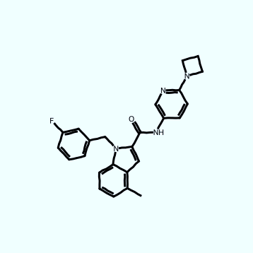 Cc1cccc2c1cc(C(=O)Nc1ccc(N3CCC3)nc1)n2Cc1cccc(F)c1